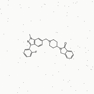 Cn1nc(-c2ccccc2F)c2ccc(CN3CCC(N4Cc5ccccc5C4=O)CC3)cc21